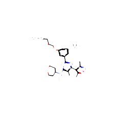 CNCC(O)COc1cc(OC)cc(-c2nc(NC3CCOCC3)c(C)c(-c3c(C)noc3C)n2)c1